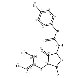 CC1CC(NC(=O)Nc2ccc(Br)cc2)C(=O)N1C/C(=N/N)NN